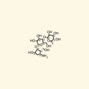 C[C@H]1O[C@@H](O[C@H]2[C@H](O)[C@@H](O)[C@@H](O[C@@H]3[C@H](CO)[C@@H](N)C[C@H]3O)O[C@@H]2CO)[C@H](O)[C@@H](O)[C@@H]1O